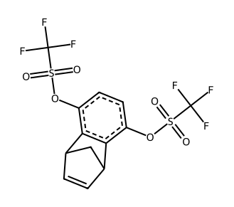 O=S(=O)(Oc1ccc(OS(=O)(=O)C(F)(F)F)c2c1C1C=CC2C1)C(F)(F)F